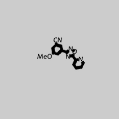 COc1cc(C#N)cc(-c2noc(-c3ccccn3)n2)c1